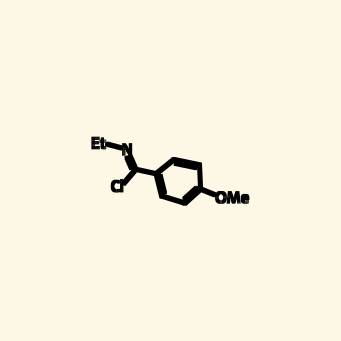 CCN=C(Cl)c1ccc(OC)cc1